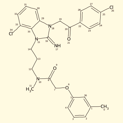 Cc1cccc(OCC(=O)N(C)CCCn2c(=N)n(CC(=O)c3ccc(Cl)cc3)c3cccc(Cl)c32)c1